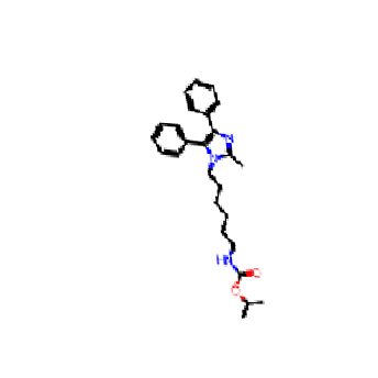 Cc1nc(-c2ccccc2)c(-c2ccccc2)n1CCCCCCNC(=O)OC(C)C